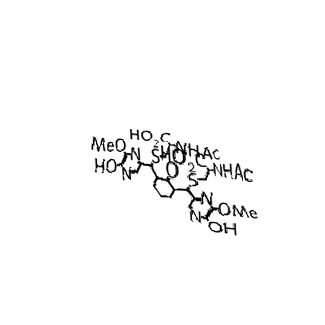 COc1nc(C(SC[C@H](NC(C)=O)C(=O)O)C2CCCC(C(SC[C@H](NC(C)=O)C(=O)O)c3cnc(O)c(OC)n3)C2=O)cnc1O